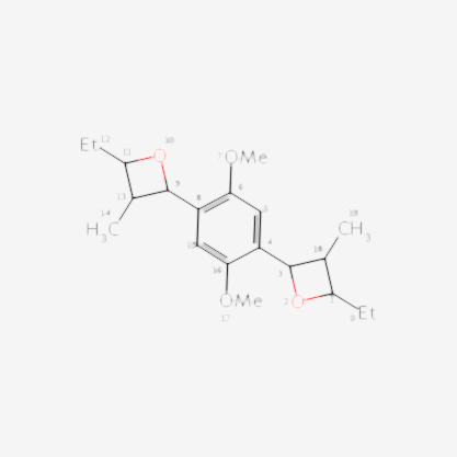 CCC1OC(c2cc(OC)c(C3OC(CC)C3C)cc2OC)C1C